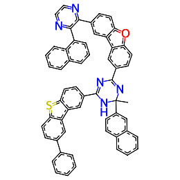 CC1(c2ccc3ccccc3c2)N=C(c2ccc3oc4ccc(-c5nccnc5-c5cccc6ccccc56)cc4c3c2)N=C(c2ccc3sc4ccc(-c5ccccc5)cc4c3c2)N1